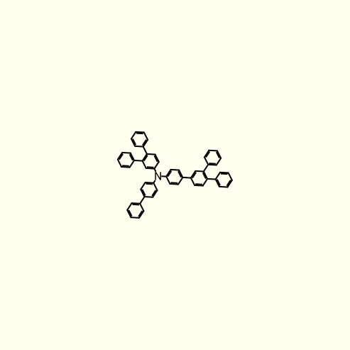 c1ccc(-c2ccc(N(c3ccc(-c4ccc(-c5ccccc5)c(-c5ccccc5)c4)cc3)c3ccc(-c4ccccc4)c(-c4ccccc4)c3)cc2)cc1